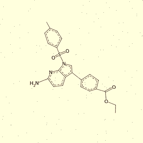 CCOC(=O)c1ccc(-c2cn(S(=O)(=O)c3ccc(C)cc3)c3nc(N)ccc23)cc1